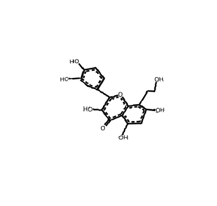 O=c1c(O)c(-c2ccc(O)c(O)c2)oc2c(CCO)c(O)cc(O)c12